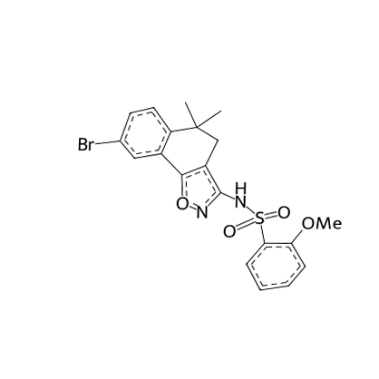 COc1ccccc1S(=O)(=O)Nc1noc2c1CC(C)(C)c1ccc(Br)cc1-2